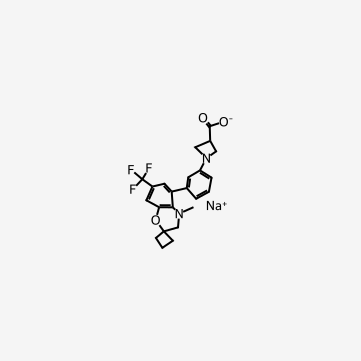 CN1CC2(CCC2)Oc2cc(C(F)(F)F)cc(-c3cccc(N4CC(C(=O)[O-])C4)c3)c21.[Na+]